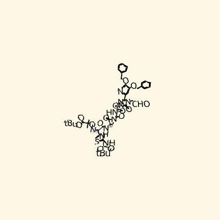 CC(C)(C)OC(=O)Nc1nc(/C(=N/OC(C)(C)C(=O)OC(C)(C)C)C(=O)N[C@H]2CN(C(=O)NS(=O)(=O)n3nc(-c4cc(OCc5ccccc5)c(OCc5ccccc5)cn4)n(CC=O)c3=O)C2=O)cs1